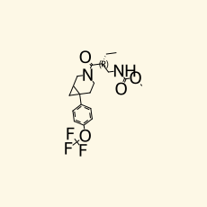 CC[C@H](CNC(=O)OC)C(=O)N1CCC2(c3ccc(OC(F)(F)F)cc3)CC2C1